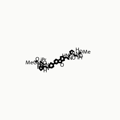 COC(=O)N[C@H](C(=O)N1CCC[C@H]1c1ncc(-c2ccc3c(c2)C(=O)c2cc(-c4ccc5nc(C6[C@H]7CC[C@H](C7)N6C(=O)[C@@H](NC(=O)OC)C(C)C)[nH]c5c4)ccc2-3)[nH]1)C(C)C